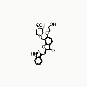 O=C1/C(=C/c2n[nH]c3ccccc23)Oc2c1ccc(OCCO)c2CN1CCN(C(=O)O)CC1